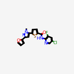 Cn1nc(-c2ccco2)cc1-c1ccc(C(=O)Nc2ncc(Cl)cc2F)s1